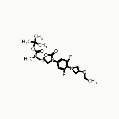 CCOC1CN(c2c(F)cc(N3C[C@H](CN(C)C(=O)OC(C)(C)C)OC3=O)cc2F)C1